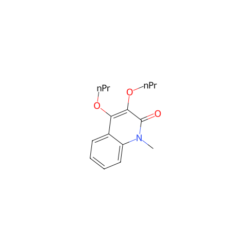 CCCOc1c(OCCC)c2ccccc2n(C)c1=O